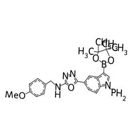 COc1ccc(CNc2nnc(-c3ccc4c(c3)c(B3OC(C)(C)C(C)(C)O3)cn4P)o2)cc1